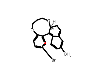 Bc1ccc2c(c1)=CC[C@@H]1OCCCOc3ccc4cc(Br)ccc4c3C=21